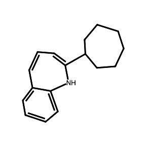 C1=Cc2ccccc2NC(C2CCCCCC2)=C1